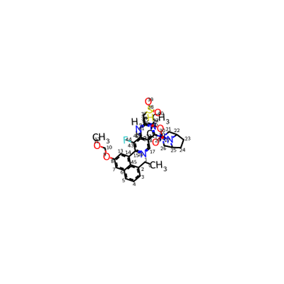 CCc1cccc2cc(OCOC)cc(-c3ncc4c(N5CC6CCC(C5)N6C(=O)OC(C)(C)C)nc(C[SH](=O)=O)nc4c3F)c12